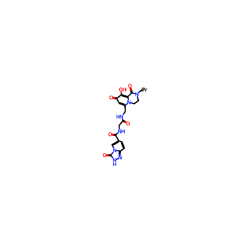 CC(C)N1CCn2c(CNC(=O)CNC(=O)c3ccc4n[nH]c(=O)n4c3)cc(=O)c(O)c2C1=O